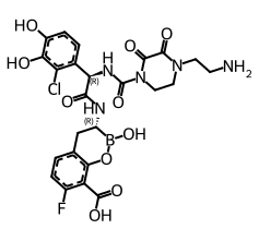 NCCN1CCN(C(=O)N[C@@H](C(=O)N[C@H]2Cc3ccc(F)c(C(=O)O)c3OB2O)c2ccc(O)c(O)c2Cl)C(=O)C1=O